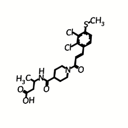 CSc1ccc(C=CC(=O)N2CCC(C(=O)NC(C)CC(=O)O)CC2)c(Cl)c1Cl